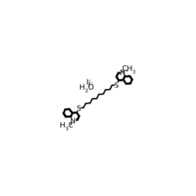 C[n+]1ccc(SCCCCCCCCCCSc2cc[n+](C)c3ccccc23)c2ccccc21.O.[I-].[I-]